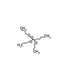 CCCCCC(OCCCC)=C(OCCCC)OCOCCCC